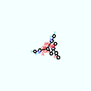 OC(O)(c1ccc(-c2ccc(F)cc2F)nc1)C(O)(O)c1cc(-c2ccccc2-c2cnc(-c3ccccc3)cc2-c2ccc3c(c2)oc2ccccc23)cc(C(O)(O)C(O)(O)c2ccc(-c3ccc(F)cc3F)nc2)c1